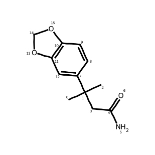 CC(C)(CC(N)=O)c1ccc2c(c1)OCO2